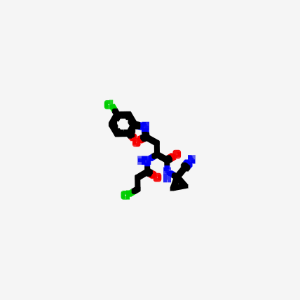 N#CC1(NC(=O)C(Cc2nc3cc(Cl)ccc3o2)NC(=O)CCCl)CC1